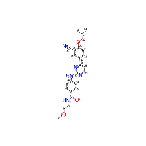 COCCNC(=O)c1ccc(Nc2nccc(-c3ccc(OCC(C)C)c(C#N)c3)n2)cc1